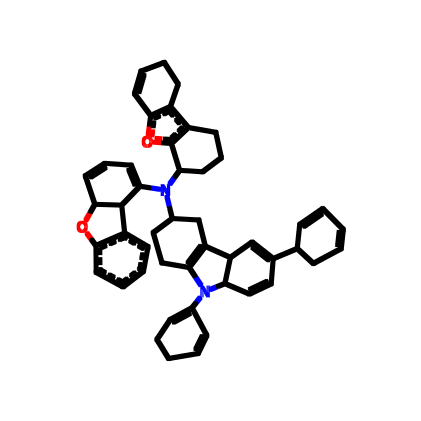 C1=CCC(C2=CC3C4=C(CCC(N(C5=CC=CC6Oc7ccccc7C56)C5CCCc6c5oc5c6CCC=C5)C4)N(C4=CCCC=C4)C3C=C2)C=C1